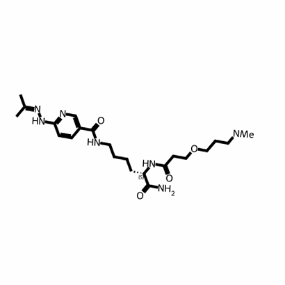 CNCCCOCCC(=O)N[C@@H](CCCCNC(=O)c1ccc(NN=C(C)C)nc1)C(N)=O